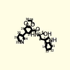 O=C(N[C@@H](CO)Cc1c[nH]c2ccccc12)c1cc(-c2cccnc2)cc2c1OCCO2